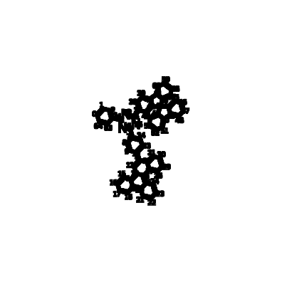 c1ccc(-c2nc(-c3ccc(-c4cc5c6ccccc6c6ccccc6c5c5ccccc45)cc3)nc(-c3ccc4c(c3)C3(c5ccccc5-c5ccccc53)c3ccccc3-4)n2)cc1